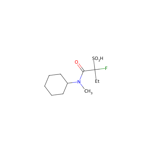 CCC(F)(C(=O)N(C)C1CCCCC1)S(=O)(=O)O